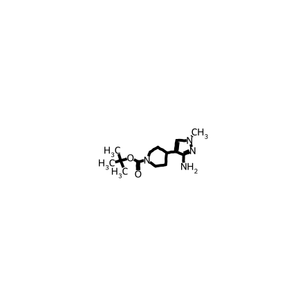 Cn1cc(C2CCN(C(=O)OC(C)(C)C)CC2)c(N)n1